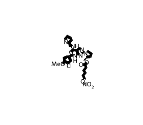 COc1ccc(CNc2nc(N3CCC[C@H]3COC(=O)CCCCCO[N+](=O)[O-])ncc2C(=O)NCc2ccccn2)cc1Cl